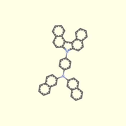 c1ccc2cc(N(c3ccc(-n4c5ccc6ccccc6c5c5c6ccccc6ccc54)cc3)c3ccc4ccccc4c3)ccc2c1